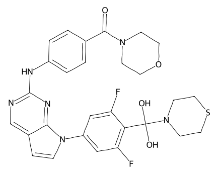 O=C(c1ccc(Nc2ncc3ccn(-c4cc(F)c(C(O)(O)N5CCSCC5)c(F)c4)c3n2)cc1)N1CCOCC1